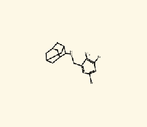 Nc1c(Br)cc(Br)cc1CNC1C2CC3CC(C2)CC1C3